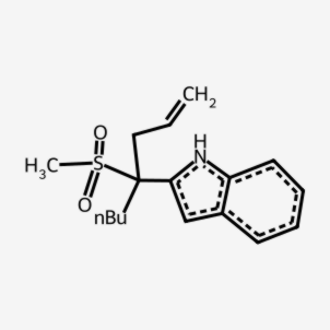 C=CCC(CCCC)(c1cc2ccccc2[nH]1)S(C)(=O)=O